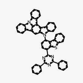 c1ccc(-c2nc(-c3ccccc3)nc(-c3ccc(-n4c5ccccc5c5c6c7ccccc7n7c8ccccc8c(cc54)c67)c4c3sc3ccccc34)n2)cc1